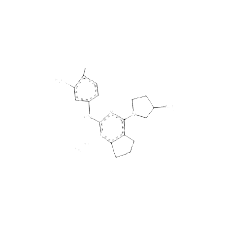 Cc1ccc(Nc2nc3c(c(N4CCC(N)C4)n2)CCC3)cc1C(F)(F)F.Cl.Cl